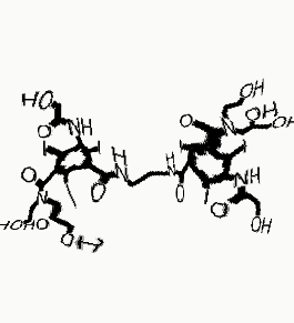 O=C(CO)Nc1c(I)c(C(=O)NCCCNC(=O)c2c(I)c(NC(=O)CO)c(I)c(C(=O)N(CCO)CC(O)CO)c2I)c(I)c(C(=O)N(CCO)CC(O)CO)c1I